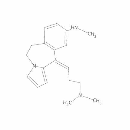 CNc1ccc2c(c1)C(=CCCN(C)C)c1cccn1CC2